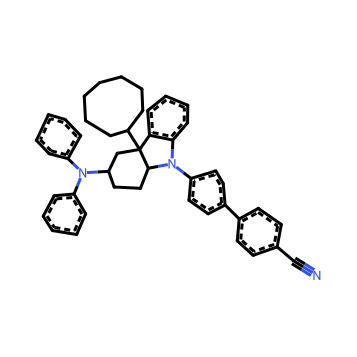 N#Cc1ccc(-c2ccc(N3c4ccccc4C4(C5CCCCCCC5)CC(N(c5ccccc5)c5ccccc5)CCC34)cc2)cc1